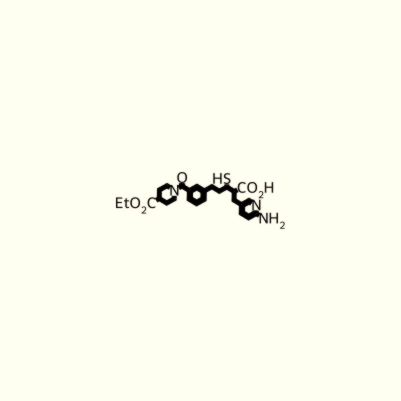 CCOC(=O)C1CCN(C(=O)c2cccc(CCC(S)C(Cc3ccc(N)nc3)C(=O)O)c2)CC1